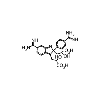 N=C(N)c1ccc(C2(CC(O)C(=O)O)N=c3cc(C(=N)N)ccc3=C2CC(O)C(=O)O)cc1